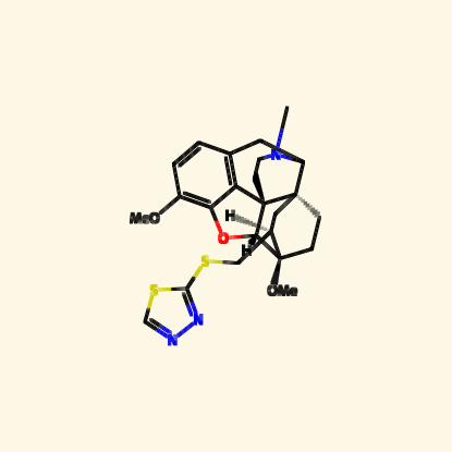 COc1ccc2c3c1O[C@H]1[C@@]4(OC)CC[C@@]5(C[C@@H]4CSc4nncs4)C(C2)N(C)CC[C@]315